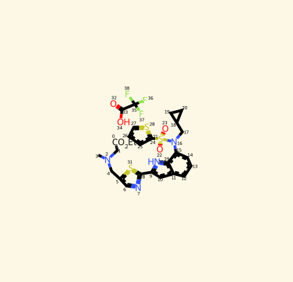 CCOC(=O)CN(C)Cc1cnc(-c2cc3cccc(N(CC4CC4)S(=O)(=O)c4cccs4)c3[nH]2)s1.O=C(O)C(F)(F)F